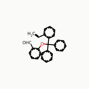 C=Cc1ccccc1C(Oc1ccccc1C=O)(c1ccccc1)c1ccccc1